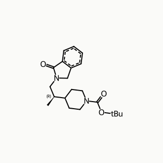 C[C@@H](CN1Cc2ccccc2C1=O)C1CCN(C(=O)OC(C)(C)C)CC1